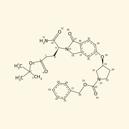 CC(C)(C)OC(=O)CC[C@@H](C(N)=O)N1Cc2cc(O[C@H]3CCN(C(=O)OCc4ccccc4)C3)ccc2C1=O